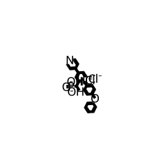 CC(c1cc(-c2ccncc2)cc[n+]1-c1ccc(Oc2ccccc2)cc1)P(=O)(O)O.Cl.[Cl-]